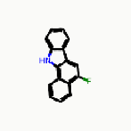 Fc1cc2c3ccccc3[nH]c2c2ccccc12